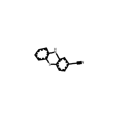 N#Cc1ccc2c(c1)Nc1ccccc1S2